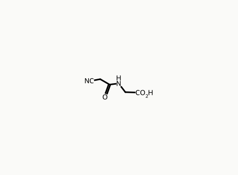 N#CCC(=O)NCC(=O)O